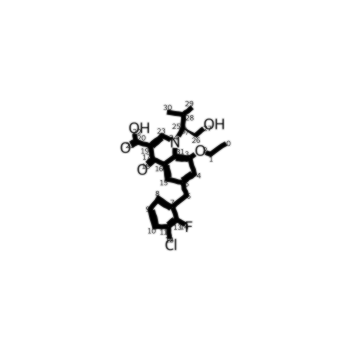 CCOc1cc(Cc2cccc(Cl)c2F)cc2c(=O)c(C(=O)O)cn([C@H](CO)C(C)C)c12